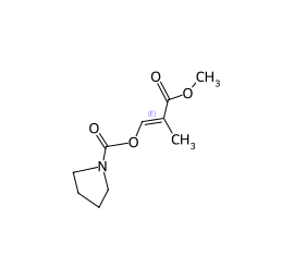 COC(=O)/C(C)=C/OC(=O)N1CCCC1